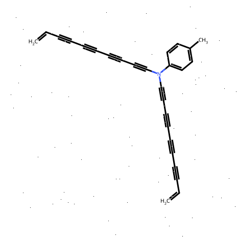 C=CC#CC#CC#CC#CN(C#CC#CC#CC#CC=C)c1ccc(C)cc1